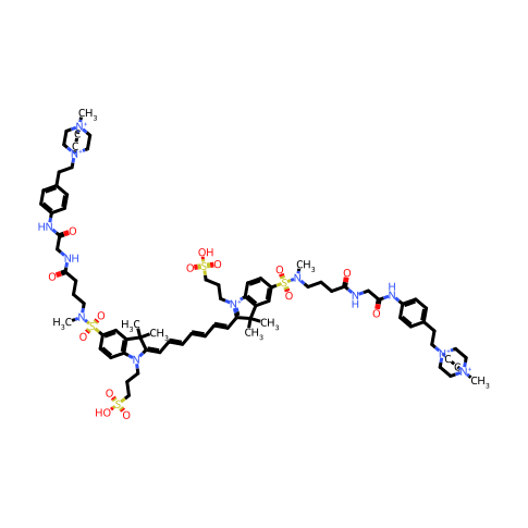 CN(CCCC(=O)NCC(=O)Nc1ccc(CC[N+]23CC[N+](C)(CC2)CC3)cc1)S(=O)(=O)c1ccc2c(c1)C(C)(C)C(/C=C/C=C/C=C/C=C1/N(CCCS(=O)(=O)O)c3ccc(S(=O)(=O)N(C)CCCC(=O)NCC(=O)Nc4ccc(CC[N+]56CC[N+](C)(CC5)CC6)cc4)cc3C1(C)C)=[N+]2CCCS(=O)(=O)O